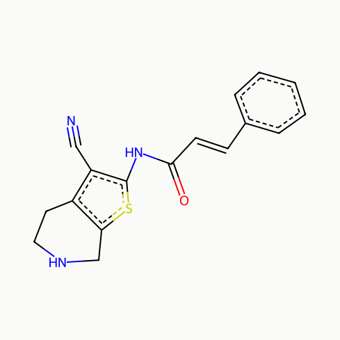 N#Cc1c(NC(=O)C=Cc2ccccc2)sc2c1CCNC2